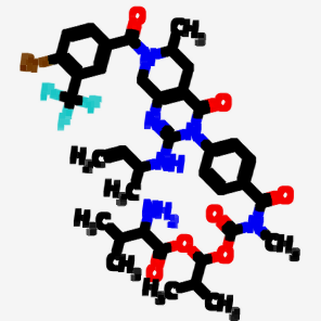 C=CC(C)Nc1nc2c(c(=O)n1-c1ccc(C(=O)N(C)C(=O)OC(OC(=O)C(N)C(C)C)C(C)C)cc1)CC(C)N(C(=O)c1ccc(Br)c(C(F)(F)F)c1)C2